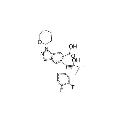 CC(C)/C(O)=C(\c1ccc(F)c(F)c1)c1cc2cnn(C3CCCCO3)c2cc1C(=O)O